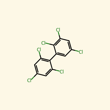 Clc1cc(Cl)c(-c2cc(Cl)cc(Cl)c2Cl)c(Cl)c1